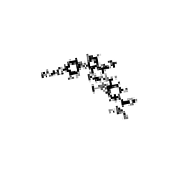 COc1ccc(-n2ncc3c(=O)n(CC4(O)CCN(C(=O)N(C)C)CC4)cnc32)cc1